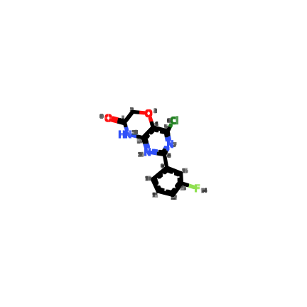 O=C1COc2c(Cl)nc(-c3cccc(F)c3)nc2N1